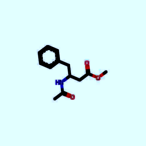 COC(=O)CC(Cc1ccccc1)NC(C)=O